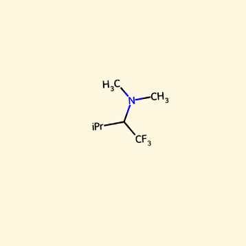 CC(C)C(N(C)C)C(F)(F)F